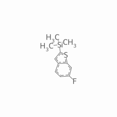 C[Si](C)(C)c1cc2ccc(F)cc2s1